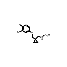 Cc1ncc(OCC2(CNC(=O)O)CC2)cc1Br